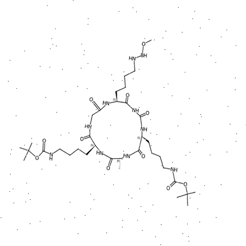 COBNCCCC[C@@H]1NC(=O)CNC(=O)[C@H](CCCCNC(=O)OC(C)(C)C)NC(=O)[C@@H](C)NC(=O)[C@H](CCCCNC(=O)OC(C)(C)C)NC(=O)NC1=O